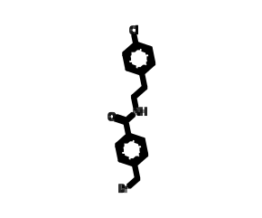 O=C(NCCc1ccc(Cl)cc1)c1ccc(CBr)cc1